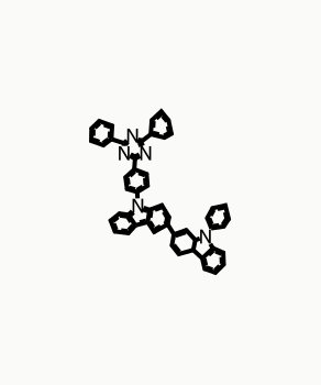 C1=CC2c3ccccc3N(c3ccccc3)C2C=C1c1ccc2c(c1)c1ccccc1n2-c1ccc(-c2nc(-c3ccccc3)nc(-c3ccccc3)n2)cc1